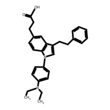 CCN(CC)c1ccc(-n2cc(CCc3ccccc3)c3cc(CCC(=O)O)ccc32)cc1